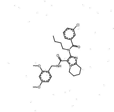 CCCCN(C(=O)c1cccc(Cl)c1)c1nc2n(c1C(=O)NCc1ccc(OC)cc1OC)CCCC2